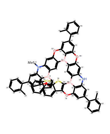 CSN1c2cc3c(cc2B2c4sc5ccccc5c4Oc4cc(-c5ccccc5C)cc1c42)B1c2cc4c(cc2Oc2cc(-c5ccccc5C)cc(c21)O3)Nc1cc(-c2ccccc2C)cc2c1B4c1sc3ccccc3c1O2